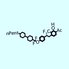 CCCCCC1CCC(C2CCC(C(F)(F)Oc3ccc(CCc4ccc(C(C)=O)c(O)c4C(F)(F)F)cc3)CC2)CC1